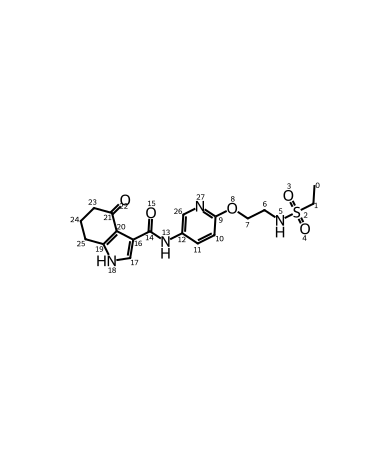 CCS(=O)(=O)NCCOc1ccc(NC(=O)c2c[nH]c3c2C(=O)CCC3)cn1